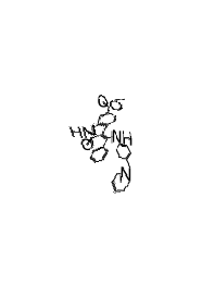 CCOC(=O)c1ccc2c(c1)NC(=O)C2=C(Nc1ccc(CN2CC=CCC2)cc1)c1ccccc1